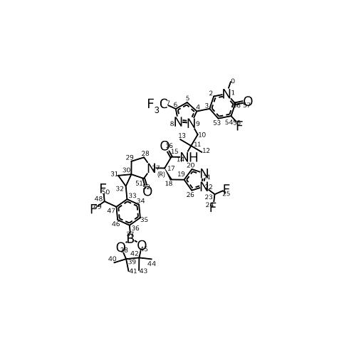 Cn1cc(-c2cc(C(F)(F)F)nn2CC(C)(C)NC(=O)[C@@H](Cc2cnn(C(F)F)c2)N2CCC3(CC3c3ccc(B4OC(C)(C)C(C)(C)O4)cc3C(F)F)C2=O)cc(F)c1=O